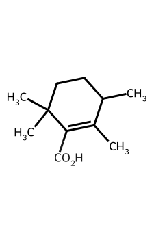 CC1=C(C(=O)O)C(C)(C)CCC1C